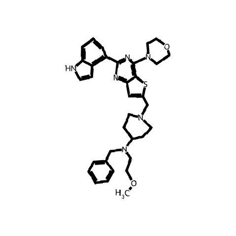 COCCN(Cc1ccccc1)C1CCN(Cc2cc3nc(-c4cccc5[nH]ccc45)nc(N4CCOCC4)c3s2)CC1